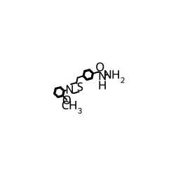 COc1ccccc1N1CCSC(Cc2ccc(C(=O)NN)cc2)C1